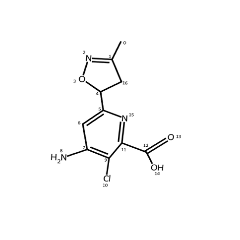 CC1=NOC(c2cc(N)c(Cl)c(C(=O)O)n2)C1